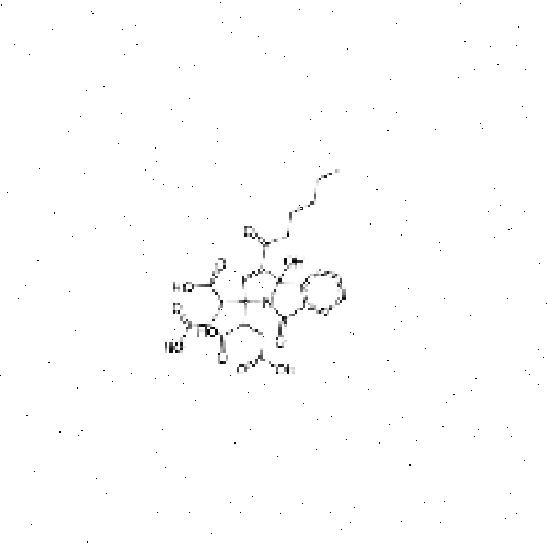 CCCCCC(=O)C1=CC(C(CC(=O)O)C(=O)O)(C(CC(=O)O)C(=O)O)N2C(=O)c3ccccc3C12O